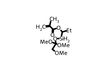 C=C(C)C(=O)OC(CC)[SiH2]OC(COC)(OC)OC